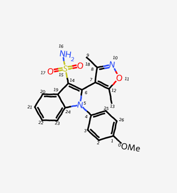 COc1ccc(-n2c(-c3c(C)noc3C)c(S(N)(=O)=O)c3ccccc32)cc1